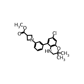 COC(=O)C1CN(c2cccc(-c3cc(Cl)cc4c3NCC(C)(C)O4)c2)C1